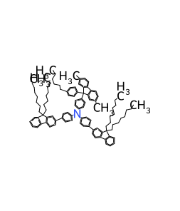 CCCCCCCCC1(CCCCCCCC)c2ccccc2-c2ccc(-c3ccc(N(c4ccc(-c5ccc6c(c5)C(CCCCCCCC)(CCCCCCCC)c5ccccc5-6)cc4)c4ccc(C5(c6ccc(CCCCCC)cc6)c6cc(C)ccc6-c6ccc(C)cc65)cc4)cc3)cc21